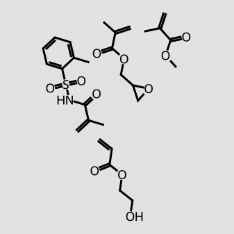 C=C(C)C(=O)NS(=O)(=O)c1ccccc1C.C=C(C)C(=O)OC.C=C(C)C(=O)OCC1CO1.C=CC(=O)OCCO